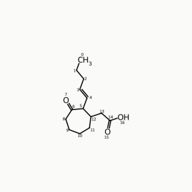 CCCC=CC1C(=O)CCCCC1CC(=O)O